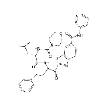 CC(C)C[C@H](NC(=O)N1CCOCC1)C(=O)NC(CCc1ccccc1)C(=O)c1nc2ccc(C(=O)Nc3ccccc3)cc2s1